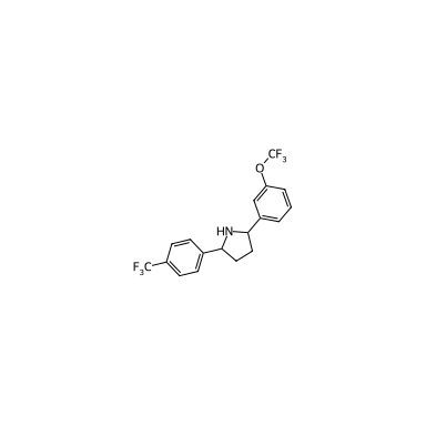 FC(F)(F)Oc1cccc(C2CCC(c3ccc(C(F)(F)F)cc3)N2)c1